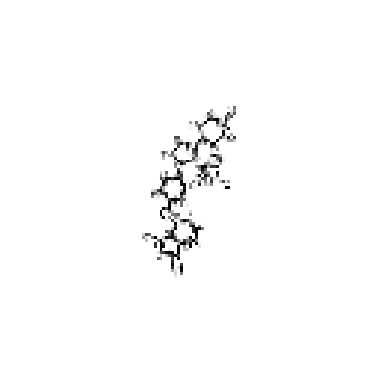 Cc1c[nH]c2nccc(Oc3ccc([C@H]4CCN(C5CCN(C)CC5)[C@@H]4C(N)=O)cc3)c12